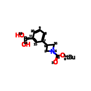 CC(C)(C)OC(=O)N1CC(c2cccc(B(O)O)c2)C1